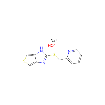 [Na+].[OH-].c1ccc(CSc2nc3cscc3[nH]2)nc1